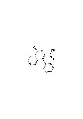 O=C(O)c1oc(=O)c2ccccc2c1-c1ccccc1